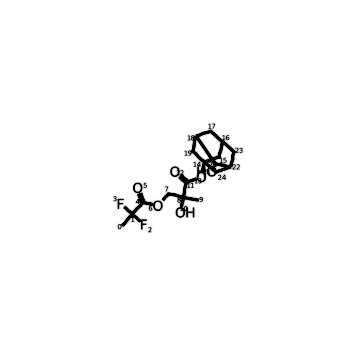 CC(F)(F)C(=O)OCC(C)(O)C(=O)OC12CC3CC(C1)C(O)C(C3)C2